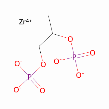 CC(COP(=O)([O-])[O-])OP(=O)([O-])[O-].[Zr+4]